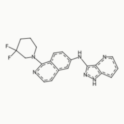 FC1(F)CCCN(c2nccc3cc(Nc4n[nH]c5cccnc45)ccc23)C1